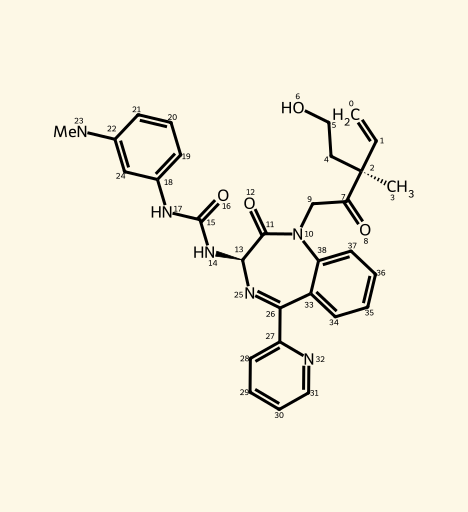 C=C[C@](C)(CCO)C(=O)CN1C(=O)[C@H](NC(=O)Nc2cccc(NC)c2)N=C(c2ccccn2)c2ccccc21